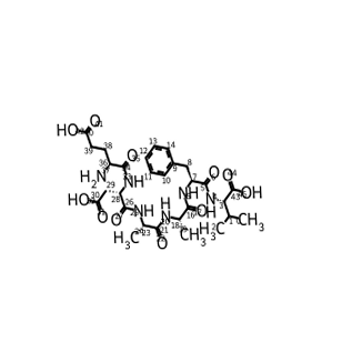 CC(C)[C@H](NC(=O)[C@H](Cc1ccccc1)NC(=O)[C@H](C)NC(=O)[C@H](C)NC(=O)[C@H](CC(=O)O)NC(=O)[C@@H](N)CCC(=O)O)C(=O)O